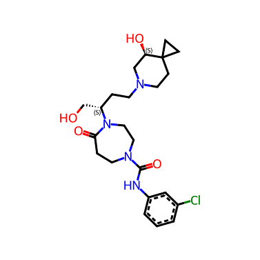 O=C(Nc1cccc(Cl)c1)N1CCC(=O)N([C@H](CO)CCN2CCC3(CC3)[C@H](O)C2)CC1